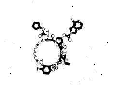 C=C[C@@H]1C[C@@]12NC(=O)[C@@H]1C[C@@H](OC(=O)N3Cc4cccc(F)c4C3)CN1C(=O)[C@@H](NC(=O)OC1CCCC1)CCCCCCCNc1c(F)cccc1S(=O)(=O)NC2=O